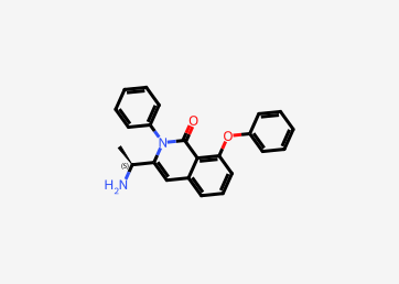 C[C@H](N)c1cc2cccc(Oc3ccccc3)c2c(=O)n1-c1ccccc1